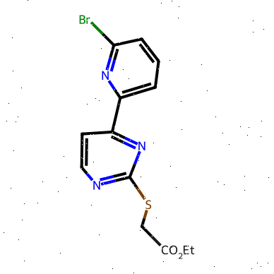 CCOC(=O)CSc1nccc(-c2cccc(Br)n2)n1